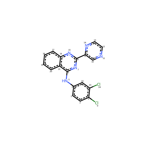 Clc1ccc(Nc2nc(-c3cnccn3)nc3ccccc23)cc1Cl